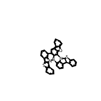 c1ccc2c(c1)SC1C2c2cccc3c2N1c1c2c(cc4c1oc1ccccc14)-c1cccc4c5sc6ccccc6c5n(c14)B32